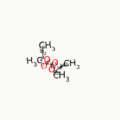 CC#CC(C)OC(=O)C(=O)OC(C)C#CC